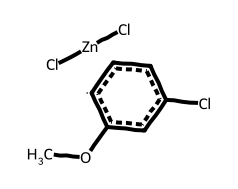 COc1[c]ccc(Cl)c1.[Cl][Zn][Cl]